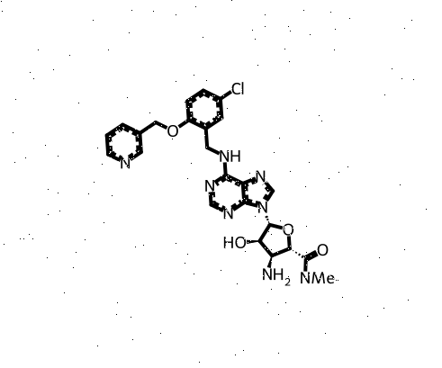 CNC(=O)[C@H]1O[C@@H](n2cnc3c(NCc4cc(Cl)ccc4OCc4cccnc4)ncnc32)[C@H](O)[C@@H]1N